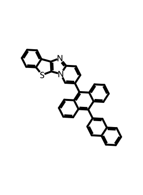 c1ccc2cc(-c3c4ccccc4c(-c4ccc5nc6c7ccccc7sc6n5c4)c4ccccc34)ccc2c1